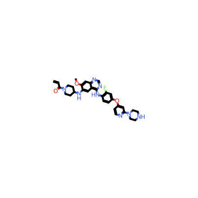 C=CC(=O)N1CCC(Nc2cc3c(Nc4ccc(Oc5ccnc(N6CCNCC6)c5)cc4F)ncnc3cc2OC)CC1